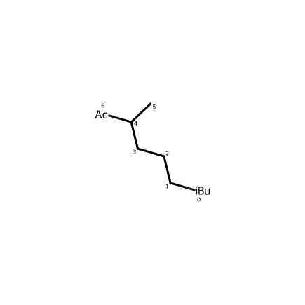 CCC(C)CCCC(C)C(C)=O